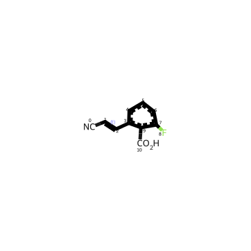 N#C/C=C/c1cccc(F)c1C(=O)O